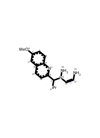 COc1ccc2nc(C(C(C)C)N(N)/C=C\N)ccc2c1